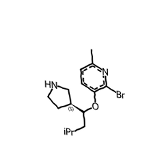 Cc1ccc(OC(CC(C)C)[C@H]2CCNC2)c(Br)n1